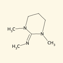 CN=C1N(C)CCCN1C